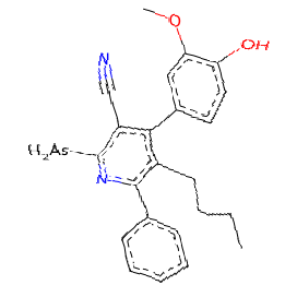 CCCCc1c(-c2ccccc2)nc([AsH2])c(C#N)c1-c1ccc(O)c(OC)c1